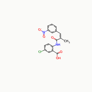 CC(=Cc1cccc([N+](=O)[O-])c1)C(=O)Nc1ccc(Cl)cc1C(=O)O